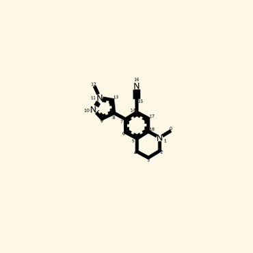 CN1CCCc2cc(-c3cnn(C)c3)c(C#N)cc21